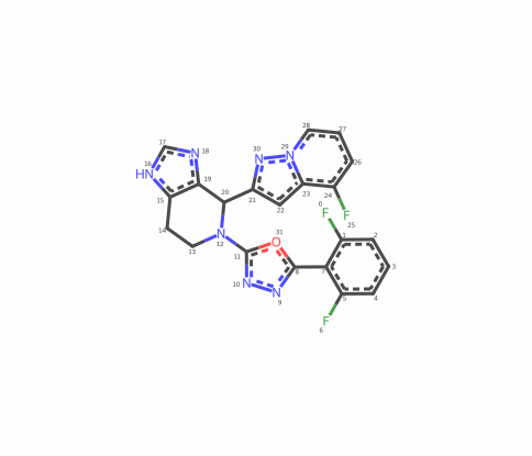 Fc1cccc(F)c1-c1nnc(N2CCc3[nH]cnc3C2c2cc3c(F)cccn3n2)o1